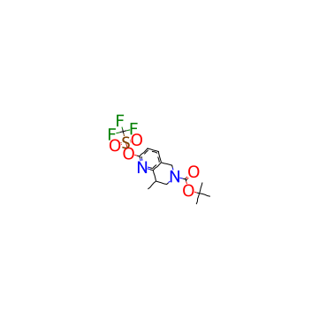 CC1CN(C(=O)OC(C)(C)C)Cc2ccc(OS(=O)(=O)C(F)(F)F)nc21